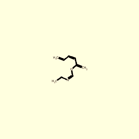 C=C/C=C\C(=C)O/C=N\CC